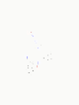 CC(=O)N1CCN(C2CN(CCC(CN(C)C(=O)c3cc(C#N)cc4ccccc34)c3ccc(Cl)c(Cl)c3)C2)CC1